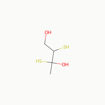 CC(O)(S)C(S)CO